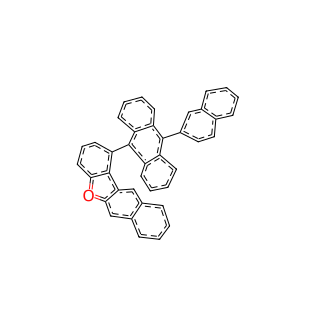 c1ccc2cc(-c3c4ccccc4c(-c4cccc5oc6cc7ccccc7cc6c45)c4ccccc34)ccc2c1